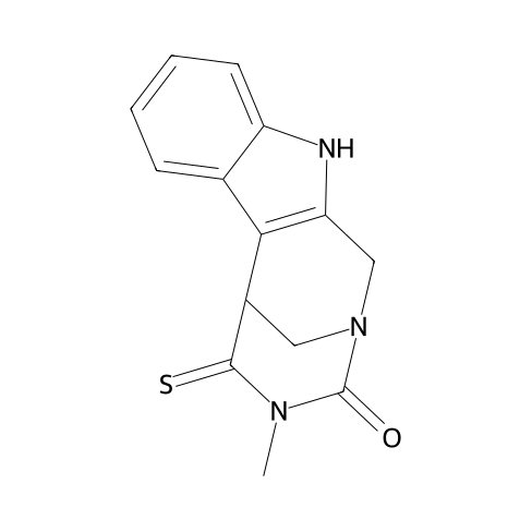 CN1C(=O)N2Cc3[nH]c4ccccc4c3C(C2)C1=S